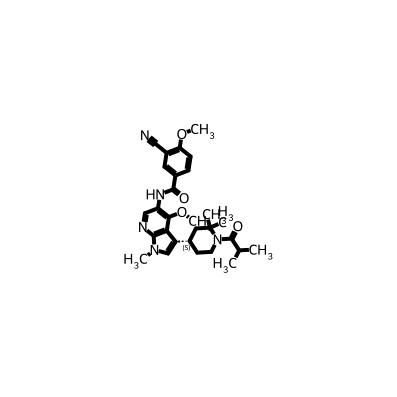 COc1ccc(C(=O)Nc2cnc3c(c([C@H]4CCN(C(=O)C(C)C)C(C)(C)C4)cn3C)c2OC)cc1C#N